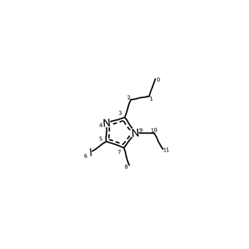 CCCc1nc(I)c(C)n1CC